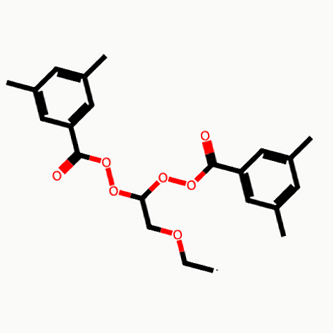 [CH2]COC[C](OOC(=O)c1cc(C)cc(C)c1)OOC(=O)c1cc(C)cc(C)c1